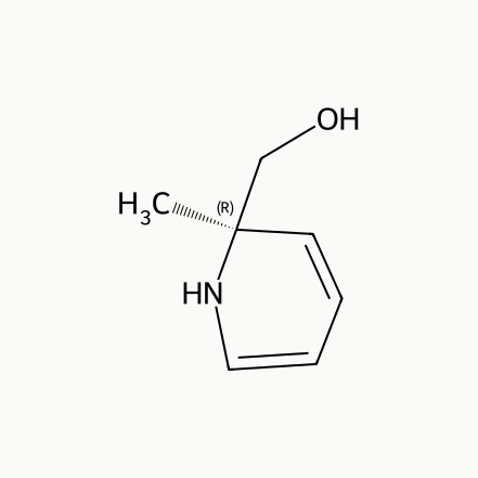 C[C@]1(CO)C=CC=CN1